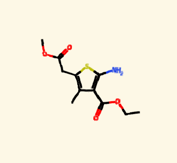 CCOC(=O)c1c(N)sc(CC(=O)OC)c1C